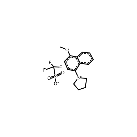 COc1ccc([S+]2CCCC2)c2ccccc12.O=S(=O)([O-])C(F)(F)F